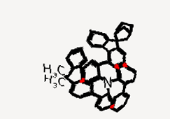 CC1(C)c2ccccc2-c2cc(-c3ccccc3N(c3ccccc3-c3ccccc3)c3ccccc3-c3cccc4c3-c3ccccc3C43CC4CCC3C4)ccc21